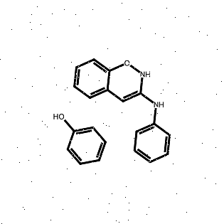 C1=C(Nc2ccccc2)NOc2ccccc21.Oc1ccccc1